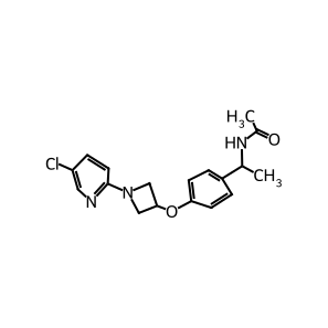 CC(=O)NC(C)c1ccc(OC2CN(c3ccc(Cl)cn3)C2)cc1